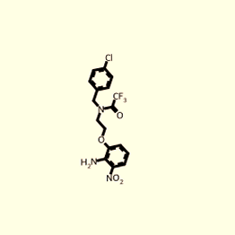 Nc1c(OCCN(Cc2ccc(Cl)cc2)C(=O)C(F)(F)F)cccc1[N+](=O)[O-]